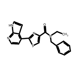 CCN(Cc1ccccc1)C(=O)c1csc(-c2ccnc3[nH]ccc23)n1